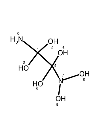 NC(O)(O)C(O)(O)N(O)O